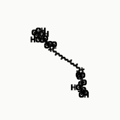 CC1=C(/C=C/C(C)=C/C=C/C(C)=C/C=C/C=C(C)/C=C/C=C(C)/C=C/C2=C(C)C(=O)C(OC(=O)CCC(=O)OCC(O)C3OC(=O)C(O)=C3O)CC2(C)C)C(C)(C)CC(OC(=O)CCC(=O)OCC(O)C2OC(=O)C(O)=C2C)C1=O